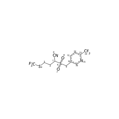 N#CC(CCSC(F)(F)F)S(=O)(=O)Cc1ccc(C(F)(F)F)nc1